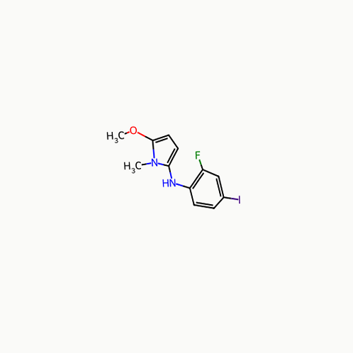 COc1ccc(Nc2ccc(I)cc2F)n1C